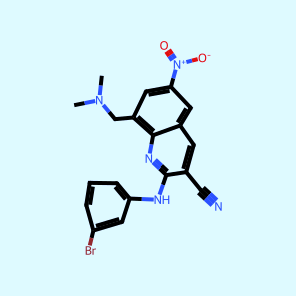 CN(C)Cc1cc([N+](=O)[O-])cc2cc(C#N)c(Nc3cccc(Br)c3)nc12